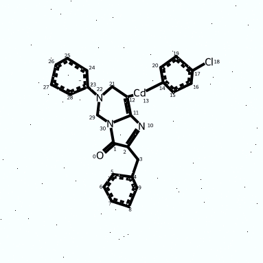 O=C1C(Cc2ccccc2)=NC2=[C]([Cd][c]3ccc(Cl)cc3)CN(c3ccccc3)CN12